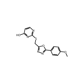 COc1ccc(-c2nnc(CSc3nccc(O)n3)o2)cc1